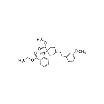 CCOC(=O)c1ccccc1NC1(C(=O)OC)CCN(CCc2cccc(OC)c2)CC1